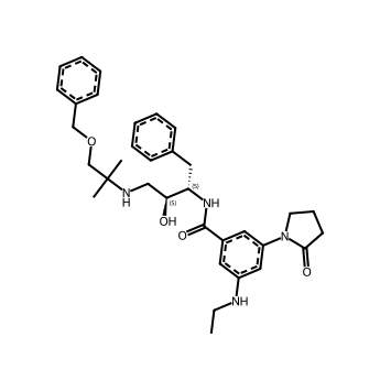 CCNc1cc(C(=O)N[C@@H](Cc2ccccc2)[C@@H](O)CNC(C)(C)COCc2ccccc2)cc(N2CCCC2=O)c1